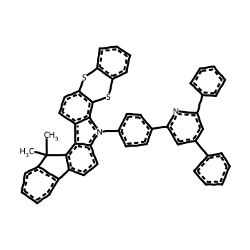 CC1(C)c2ccccc2-c2ccc3c(c21)c1ccc2c(c1n3-c1ccc(-c3cc(-c4ccccc4)cc(-c4ccccc4)n3)cc1)Sc1ccccc1S2